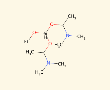 CCO[SiH](OC(C)N(C)C)OC(C)N(C)C